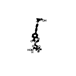 CC(CCn1cnc2cc(C#CC#C[C@@H]3C[C@H]3CO)ccc2c1=O)(C(=O)NO)S(C)(=O)=O